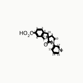 O=C(O)c1ccc2c(c1)C[C@@]1(CCN(c3cccnc3)C1=O)C2